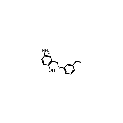 CCc1cccc(NCc2cc(N)ccc2O)c1